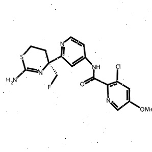 COc1cnc(C(=O)Nc2ccnc([C@]3(CF)CCSC(N)=N3)c2)c(Cl)c1